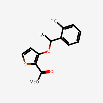 COC(=O)c1sccc1OC(C)c1ccccc1C(F)(F)F